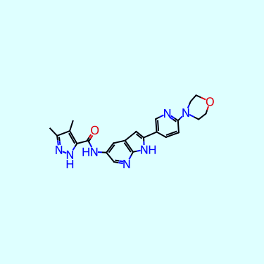 Cc1n[nH]c(C(=O)Nc2cnc3[nH]c(-c4ccc(N5CCOCC5)nc4)cc3c2)c1C